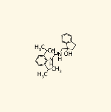 CC(C)c1cccc(C(C)C)c1NC(=O)NCC1(O)CCc2ccccc21